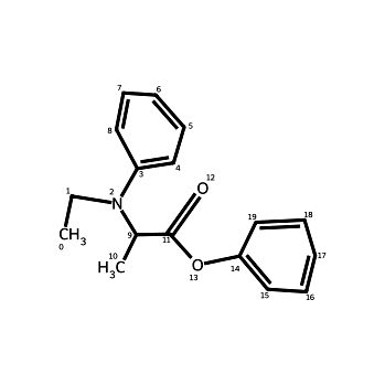 CCN(c1ccccc1)C(C)C(=O)Oc1ccccc1